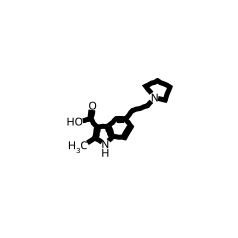 Cc1[nH]c2ccc(CCN3CCCC3)cc2c1C(=O)O